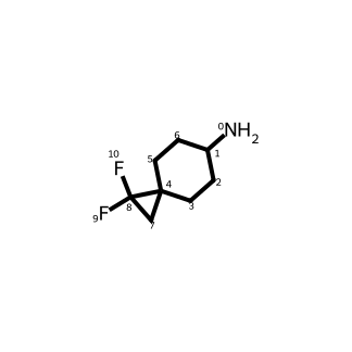 NC1CCC2(CC1)CC2(F)F